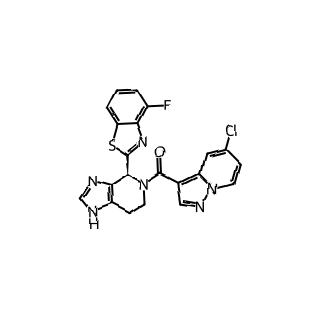 O=C(c1cnn2ccc(Cl)cc12)N1CCc2[nH]cnc2[C@H]1c1nc2c(F)cccc2s1